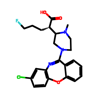 CN1CCN(C2=Nc3cc(Cl)ccc3Oc3ccccc32)CC1[C@H](CCCF)C(=O)O